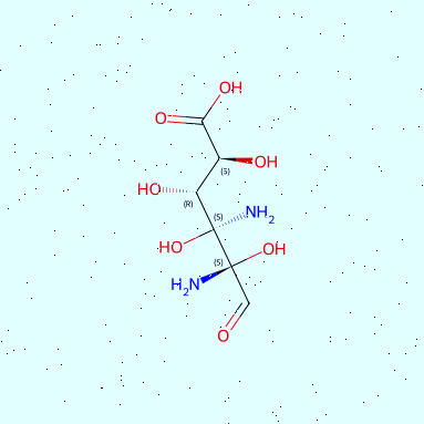 N[C@](O)([C@H](O)[C@H](O)C(=O)O)[C@](N)(O)C=O